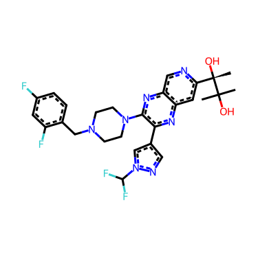 CC(C)(O)[C@@](C)(O)c1cc2nc(-c3cnn(C(F)F)c3)c(N3CCN(Cc4ccc(F)cc4F)CC3)nc2cn1